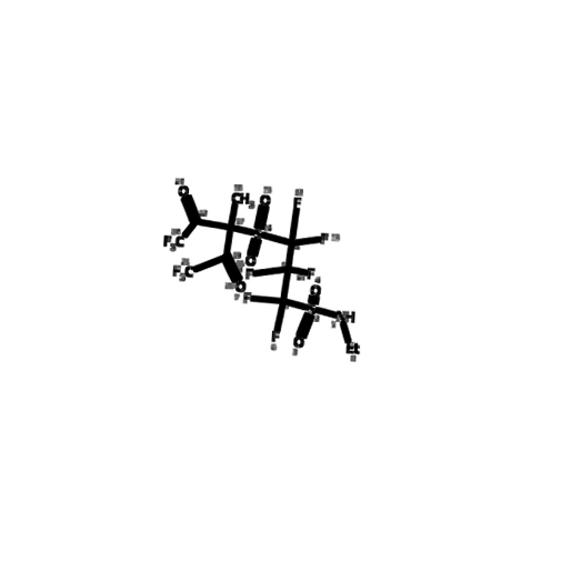 CCNS(=O)(=O)C(F)(F)C(F)(F)C(F)(F)S(=O)(=O)C(C)(C(=O)C(F)(F)F)C(=O)C(F)(F)F